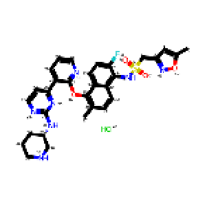 Cc1cc(CS(=O)(=O)Nc2c(F)ccc3c(Oc4ncccc4-c4ccnc(N[C@H]5CCCNC5)n4)c(C)ccc23)no1.Cl